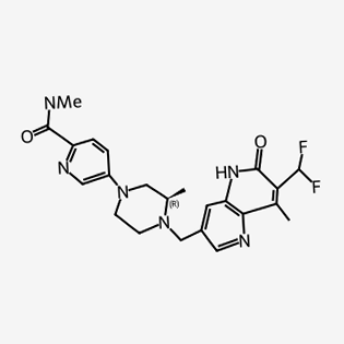 CNC(=O)c1ccc(N2CCN(Cc3cnc4c(C)c(C(F)F)c(=O)[nH]c4c3)[C@H](C)C2)cn1